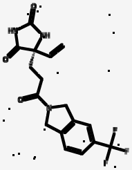 C=C[C@]1(CCC(=O)N2Cc3ccc(C(F)(F)F)cc3C2)NC(=O)NC1=O